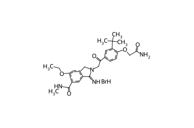 Br.CCOc1cc2c(cc1C(=O)NC)C(=N)N(CC(=O)c1ccc(OCC(N)=O)c(C(C)(C)C)c1)C2